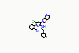 N#Cc1ccccc1-c1nc(NCCc2cccc(F)c2)c(N(C=O)Cc2cccnc2)cc1Cl